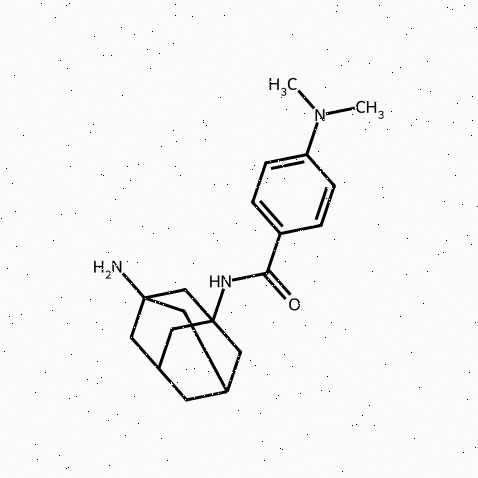 CN(C)c1ccc(C(=O)NC23CC4CC(CC(N)(C4)C2)C3)cc1